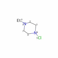 CCN1CCN(Cl)CC1